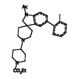 CCOC(=O)N1CCC(N2CCC3(CC2)CN(C(C)=O)c2ccc(-c4ccccc4C)cc23)CC1